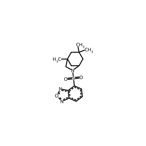 CC1(C)CC2CC(C)(CN2S(=O)(=O)c2cccc3nonc23)C1